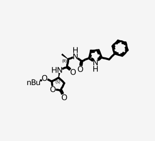 CCCCOC1OC(=O)C[C@@H]1NC(=O)[C@@H](C)NC(=O)c1ccc(Cc2ccccc2)[nH]1